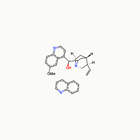 C=C[C@H]1C[N@]2CC[C@H]1C[C@@H]2[C@@H](O)c1ccnc2ccc(OC)cc12.c1ccc2ncccc2c1